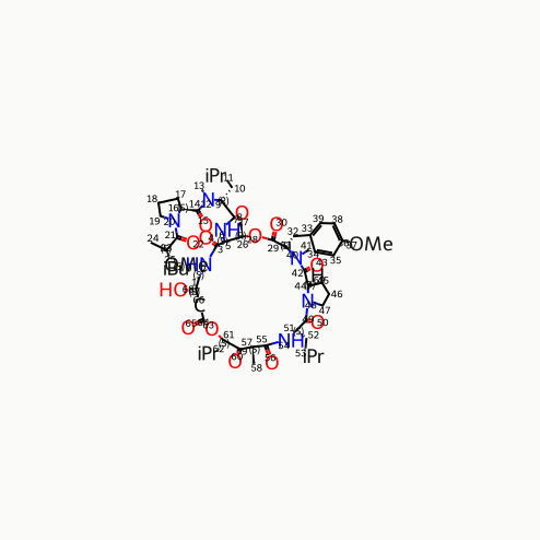 CC[C@H](C)[C@@H]1NC(=O)[C@@H](NC(=O)[C@@H](CC(C)C)N(C)C(=O)[C@@H]2CCCN2C(=O)[C@H](C)OC)[C@@H](C)OC(=O)[C@H](Cc2ccc(OC)cc2)N(C)C(=O)[C@@H]2CCCN2C(=O)[C@H](CC(C)C)NC(=O)[C@@H](C)C(=O)[C@H](C(C)C)OC(=O)C[C@@H]1O